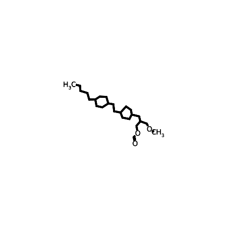 CCCCCC1CCC(CCC2CCC(CC(COC)COC=O)CC2)CC1